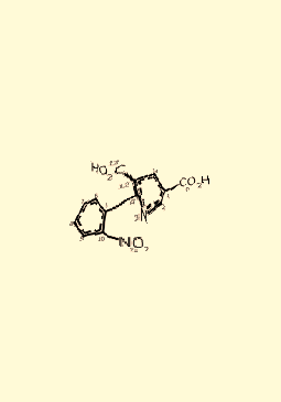 O=C(O)c1cnc(-c2ccccc2[N+](=O)[O-])c(C(=O)O)c1